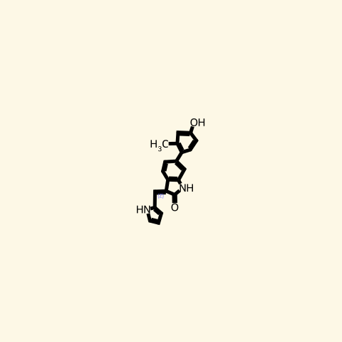 Cc1cc(O)ccc1-c1ccc2c(c1)NC(=O)/C2=C\c1ccc[nH]1